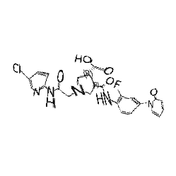 O=C(CN1C[C@H](C(=O)O)[C@@H](C(=O)Nc2ccc(-n3ccccc3=O)cc2F)C1)Nc1ccc(Cl)cn1